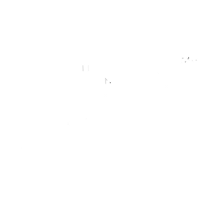 COc1ccc2c3ccc(OCc4ccccc4)cc3n(C)c2c1